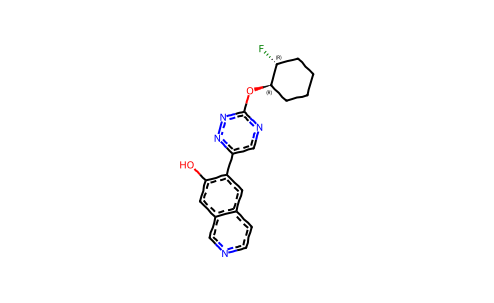 Oc1cc2cnccc2cc1-c1cnc(O[C@@H]2CCCC[C@H]2F)nn1